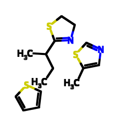 CCC(C)C1=NCCS1.Cc1cncs1.c1ccsc1